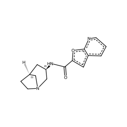 O=C(N[C@@H]1C[C@@H]2CCN(C2)C1)c1cc2cccnc2o1